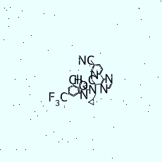 CC(c1nccnc1-c1ccc(C#N)cn1)N(CC1CC1)c1nc2cc(C(F)(F)F)cc(Cl)c2o1